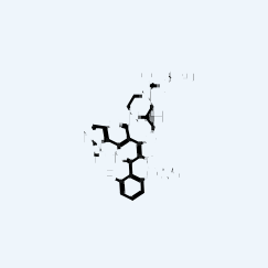 COc1cccc(F)c1-c1nc(-c2ccnn2C(C)C)c2c(c1Cl)OC[C@H]1CN(C(=O)OC(C)(C)C)CCN1C2=O